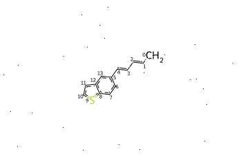 [CH2]C=CC=Cc1ccc2sccc2c1